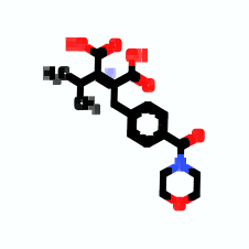 CC(C)/C(C(=O)O)=C(\Cc1ccc(C(=O)N2CCOCC2)cc1)C(=O)O